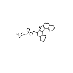 C=CC(=O)OCc1cc2ccccc2c2c1sc1ccc3ccccc3c12